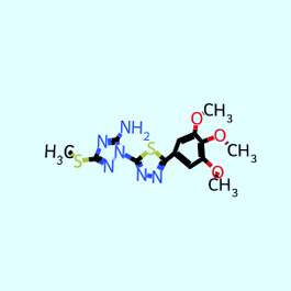 COc1cc(-c2nnc(-n3nc(SC)nc3N)s2)cc(OC)c1OC